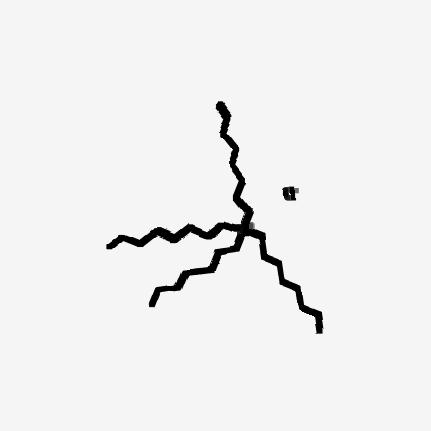 CCCCCCCC[N+](CCCCCCC)(CCCCCCCC)CCCCCCCC.[Cl-]